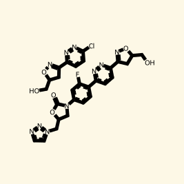 O=C1OC(Cn2ccnn2)CN1c1ccc(-c2ccc(C3=NOC(CO)C3)nn2)c(F)c1.OCC1CC(c2ccc(Cl)nn2)=NO1